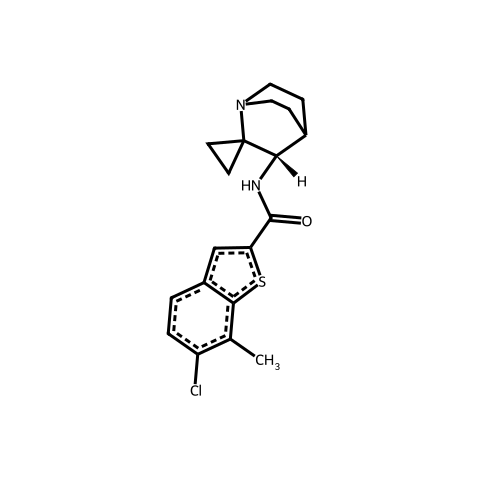 Cc1c(Cl)ccc2cc(C(=O)N[C@H]3C4CCN(CC4)C34CC4)sc12